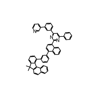 CC1(C)c2cccc(-c3cccc(-c4ccc(-c5nc(-c6ccccc6)cc(-c6cccc(-c7cccnc7)c6)n5)c5ccccc45)c3)c2-c2c1ccc1ccccc21